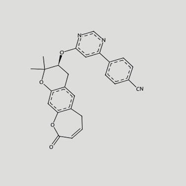 CC1(C)Oc2cc3c(cc2C[C@@H]1Oc1cc(-c2ccc(C#N)cc2)ncn1)CC=CC(=O)O3